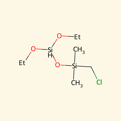 CCO[SiH](OCC)O[Si](C)(C)CCl